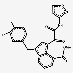 COC(=O)c1cccc2c1c(C(=O)C(=O)Nc1ccon1)cn2Cc1ccc(F)c(F)c1